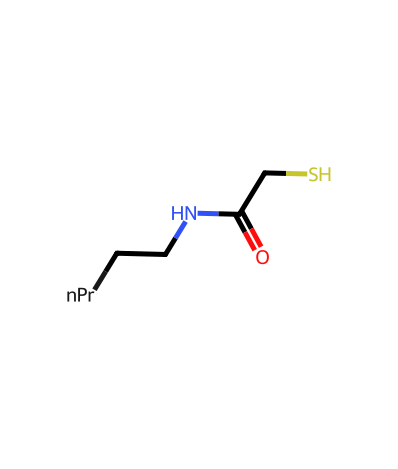 CCCCCNC(=O)CS